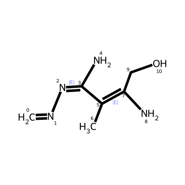 C=N/N=C(N)\C(C)=C(\N)CO